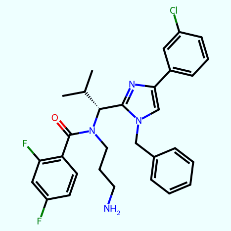 CC(C)[C@H](c1nc(-c2cccc(Cl)c2)cn1Cc1ccccc1)N(CCCN)C(=O)c1ccc(F)cc1F